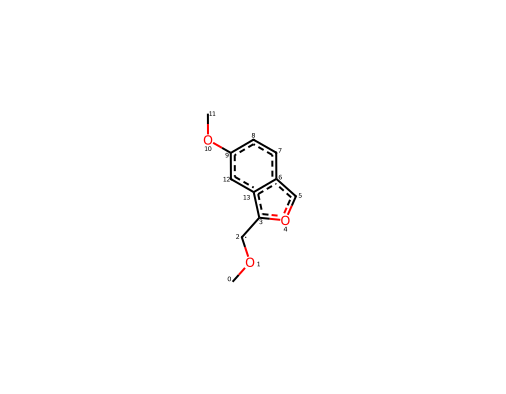 CO[CH]c1occ2ccc(OC)cc12